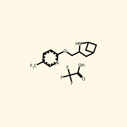 FC(F)(F)c1ccc(OCC2CC3CC(C3)N2)nc1.O=C(O)C(F)(F)F